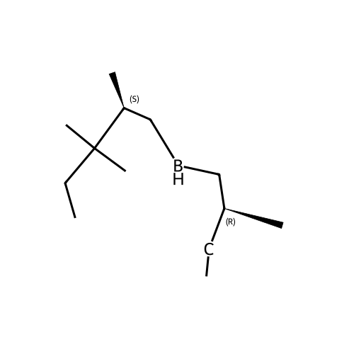 CC[C@H](C)CBC[C@H](C)C(C)(C)CC